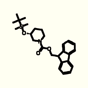 CC(C)(C)[Si](C)(C)O[C@@H]1CCCN(C(=O)OCC2c3ccccc3-c3ccccc32)C1